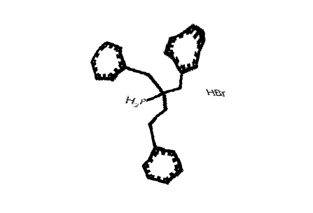 Br.PC(CCc1ccccc1)(Cc1ccccc1)Cc1ccccc1